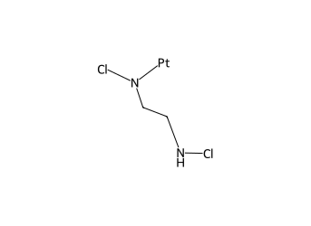 ClNCC[N](Cl)[Pt]